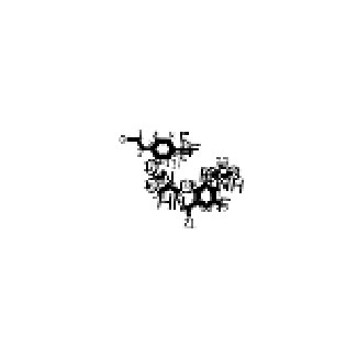 CCCc1ccc(C(F)(F)F)cc1Oc1nc(C(=O)NC(C)c2cc(F)c(NS(C)(=O)=O)c(F)c2)co1